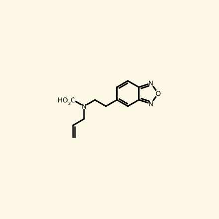 C=CCN(CCc1ccc2nonc2c1)C(=O)O